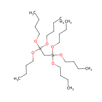 CCCCO[Si](C[Si](OCCCC)(OCCCC)OCCCC)(OCCCC)OCCCC